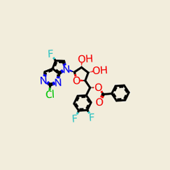 O=C(O[C@H](c1ccc(F)c(F)c1)[C@H]1O[C@@H](n2cc(F)c3cnc(Cl)nc32)[C@H](O)[C@@H]1O)c1ccccc1